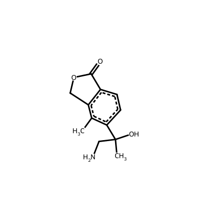 Cc1c(C(C)(O)CN)ccc2c1COC2=O